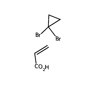 BrC1(Br)CC1.C=CC(=O)O